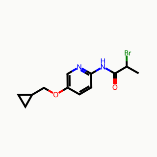 CC(Br)C(=O)Nc1ccc(OCC2CC2)cn1